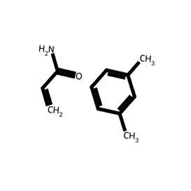 C=CC(N)=O.Cc1cccc(C)c1